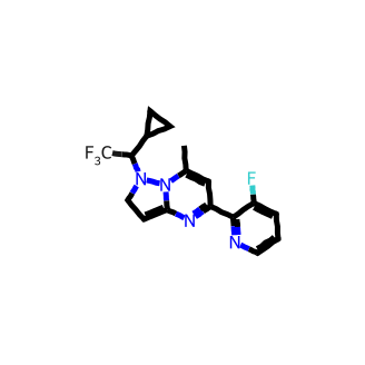 CC1=CC(c2ncccc2F)=NC2=CCN(C(C3CC3)C(F)(F)F)N12